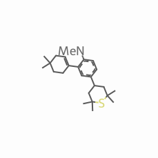 CNc1ccc(C2CC(C)(C)SC(C)(C)C2)cc1C1=CCC(C)(C)CC1